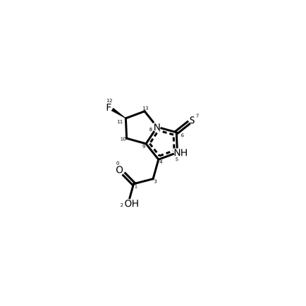 O=C(O)Cc1[nH]c(=S)n2c1C[C@@H](F)C2